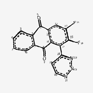 O=C1c2ccccc2C(=O)c2c1cc(F)c(F)c2-c1ccnnn1